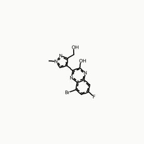 Cn1cc(-c2nc3c(Br)cc(F)cc3nc2O)c(CO)n1